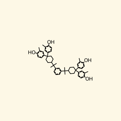 Cc1cc(C2(c3ccc(O)c(C)c3)CCC(C(C)(C)c3cccc(C(C)(C)C4CCC(c5ccc(O)c(C)c5)(c5ccc(O)c(C)c5)CC4)c3)CC2)ccc1O